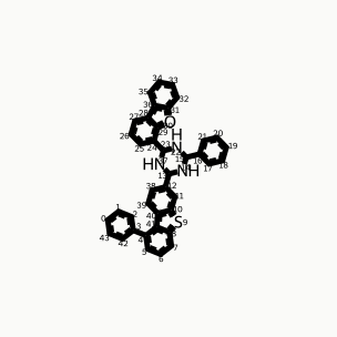 c1ccc(-c2cccc3sc4cc(C5NC(c6ccccc6)NC(c6cccc7c6oc6ccccc67)N5)ccc4c23)cc1